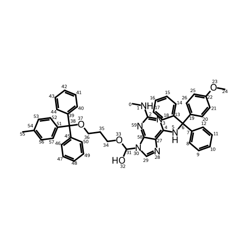 CNc1nc(NC(c2ccccc2)(c2ccccc2)c2ccc(OC)cc2)c2ncn(C(O)OCCCOC(c3ccccc3)(c3ccccc3)c3ccc(C)cc3)c2n1